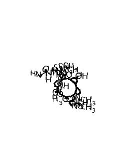 CCn1c(-c2cccnc2[C@H](C)OC)c2c3cc(ccc31)-c1cc(O)cc(c1)C[C@H](NC(=O)[C@H](C(C)C)N(C)C(=O)c1nc(NC(=O)[C@H]3CN3)cs1)C(=O)N1CCC[C@H](N1)C(=O)OCC(C)(C)C2